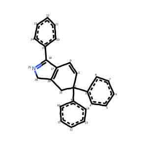 C1=CC(c2ccccc2)(c2ccccc2)CC2=C1C(c1ccccc1)=NC2